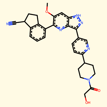 COc1cc2[nH]nc(-c3ccc(C4CCN(C(=O)CO)CC4)nc3)c2nc1-c1cccc2c1CCC2C#N